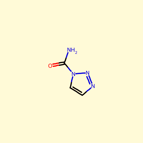 NC(=O)n1ccnn1